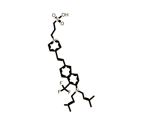 CC(C)=CCN(CC=C(C)C)c1ccc2cc(/C=C/c3cc[n+](CCCS(=O)(=O)O)cc3)ccc2c1C(F)(F)F